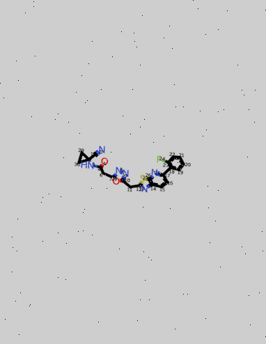 N#CC1(NC(=O)Cc2nnc(Cc3nc4ccc(-c5ccccc5F)nc4s3)o2)CC1